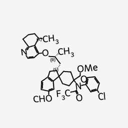 COC(=O)C1(N(C(=O)C(F)(F)F)c2cccc(Cl)c2)CCC2(CC1)c1cc(C=O)ccc1C[C@@H]2C[C@@H](C)COc1ccnc2c1[C@H](C)CCC2